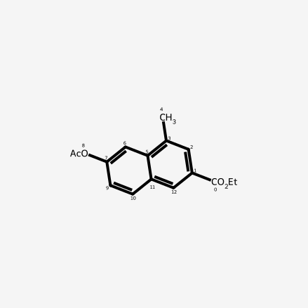 CCOC(=O)c1cc(C)c2cc(OC(C)=O)ccc2c1